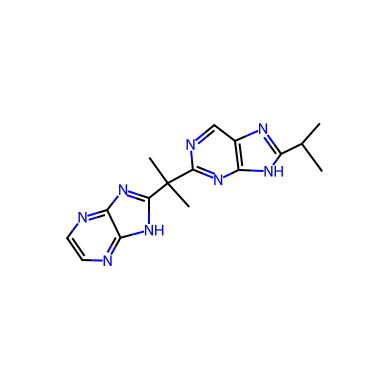 CC(C)c1nc2cnc(C(C)(C)c3nc4nccnc4[nH]3)nc2[nH]1